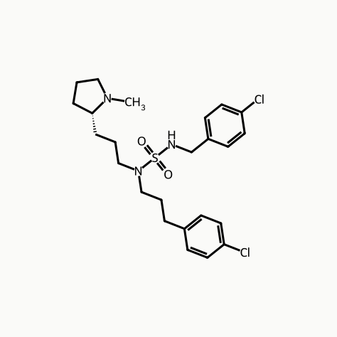 CN1CCC[C@H]1CCCN(CCCc1ccc(Cl)cc1)S(=O)(=O)NCc1ccc(Cl)cc1